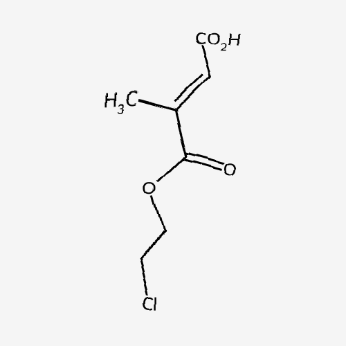 C/C(=C\C(=O)O)C(=O)OCCCl